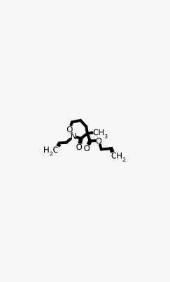 C=CCOC(=O)C1(C)CCCON(CC=C)C1=O